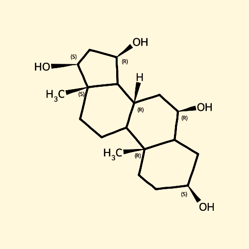 C[C@]12CC[C@H](O)CC1[C@H](O)C[C@@H]1C2CC[C@@]2(C)C1[C@H](O)C[C@@H]2O